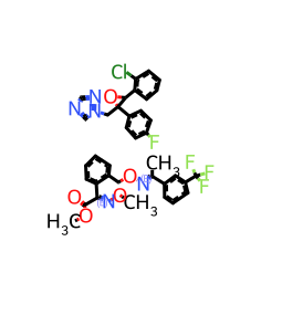 CO/N=C(/C(=O)OC)c1ccccc1CO/N=C(\C)c1cccc(C(F)(F)F)c1.Fc1ccc(C2(Cn3cncn3)OC2c2ccccc2Cl)cc1